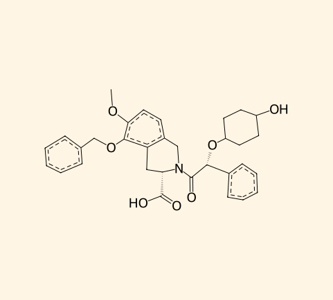 COc1ccc2c(c1OCc1ccccc1)C[C@@H](C(=O)O)N(C(=O)[C@H](OC1CCC(O)CC1)c1ccccc1)C2